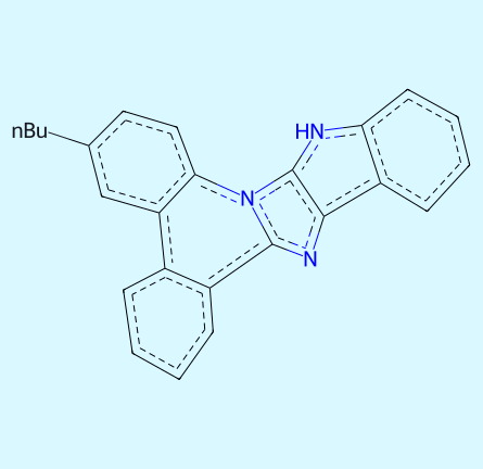 CCCCc1ccc2c(c1)c1ccccc1c1nc3c4ccccc4[nH]c3n21